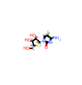 Nc1nc(=O)n([C@@H]2S[C@H](CO)C(O)C2O)cc1F